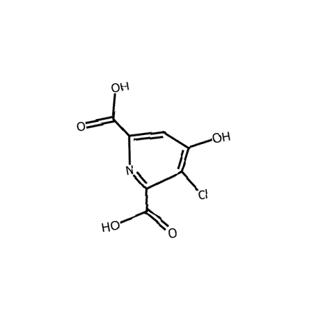 O=C(O)c1cc(O)c(Cl)c(C(=O)O)n1